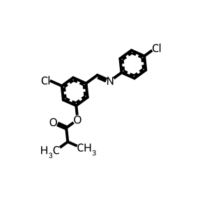 CC(C)C(=O)Oc1cc(Cl)cc(C=Nc2ccc(Cl)cc2)c1